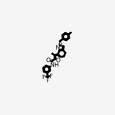 Cc1ccc(Cn2cc3c(n2)-c2c(oc(C(=O)Nc4cccc(C(F)(F)F)c4)c2C)CC3)cc1